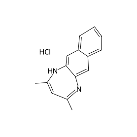 CC1=CC(C)=Nc2cc3ccccc3cc2N1.Cl